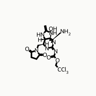 C=C1N[C@H]2[C@H](CN3C(=O)CCC3=O)N/C(=N\C(=O)OCC(Cl)(Cl)Cl)N3C[C@H](N)[C@H](O)[C@]23N1